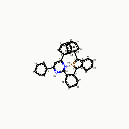 c1ccc(-c2cc(-c3ccccc3)nc(-c3ccccc3-c3sc(-c4ccccc4)c4ccccc34)n2)cc1